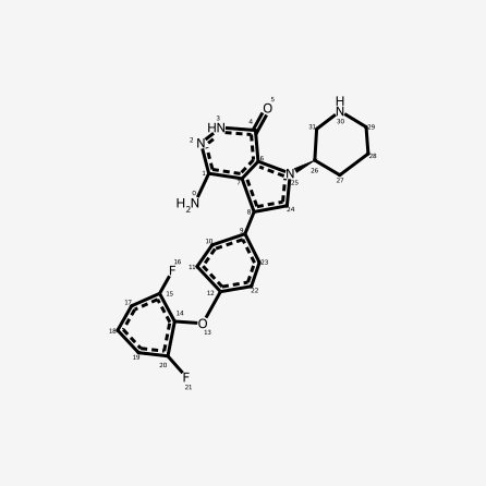 Nc1n[nH]c(=O)c2c1c(-c1ccc(Oc3c(F)cccc3F)cc1)cn2[C@@H]1CCCNC1